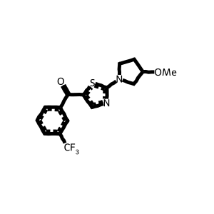 COC1CCN(c2ncc(C(=O)c3cccc(C(F)(F)F)c3)s2)C1